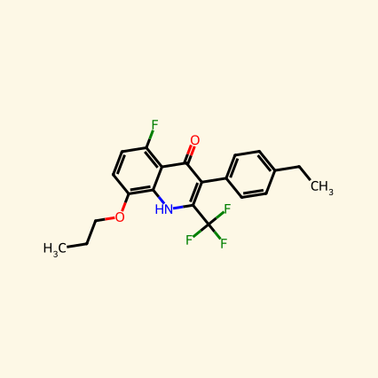 CCCOc1ccc(F)c2c(=O)c(-c3ccc(CC)cc3)c(C(F)(F)F)[nH]c12